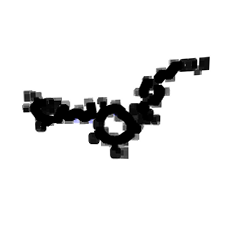 CC[C@H](O)[C@@H](C)[C@H]1O[C@@H]1CC(C)(O)/C=C/C=C(\C)[C@H]1OC(=O)C[C@H](O)CC[C@@](C)(OC)[C@@H](OC(=O)N2CCN(CCCC(=O)O)CC2)/C=C/[C@@H]1C